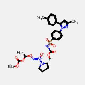 Cc1ccc(-c2cc(C(F)(F)F)nn2-c2ccc(S(=O)(=O)NC(=O)OC[C@@H]3CCCN3[N+]([O-])=NOC(C)OC(=O)OC(C)(C)C)cc2)cc1